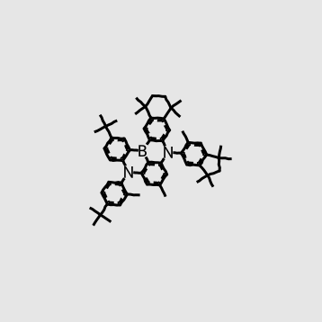 Cc1cc2c3c(c1)N(c1cc4c(cc1C)C(C)(C)CC4(C)C)c1cc4c(cc1B3c1cc(C(C)(C)C)ccc1N2c1ccc(C(C)(C)C)cc1C)C(C)(C)CCC4(C)C